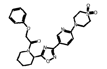 O=C(COc1ccccc1)N1CCCC[C@@H]1c1nc(-c2ccc(N3CCS(=O)(=O)CC3)nc2)no1